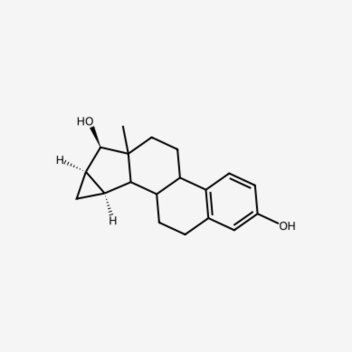 CC12CCC3c4ccc(O)cc4CCC3C1[C@H]1C[C@H]1[C@H]2O